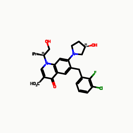 CC(C)[C@@H](CO)n1cc(C(=O)O)c(=O)c2cc(Cc3cccc(Cl)c3F)c(N3CC[C@H](O)C3)cc21